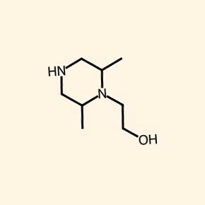 CC1CNCC(C)N1CCO